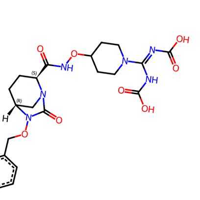 O=C(O)N=C(NC(=O)O)N1CCC(ONC(=O)[C@@H]2CC[C@@H]3CN2C(=O)N3OCc2ccccc2)CC1